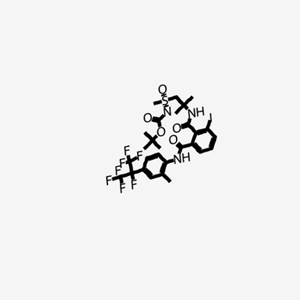 Cc1cc(C(F)(C(F)(F)F)C(F)(F)F)ccc1NC(=O)c1cccc(I)c1C(=O)NC(C)(C)CS(C)(=O)=NC(=O)OC(C)(C)C